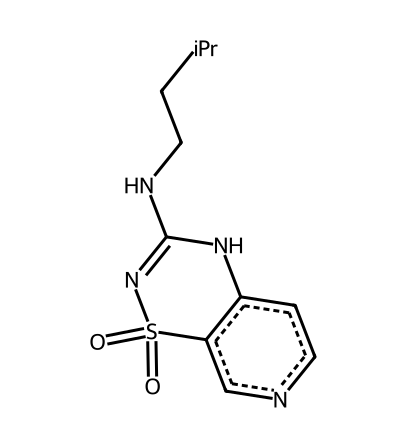 CC(C)CCNC1=NS(=O)(=O)c2cnccc2N1